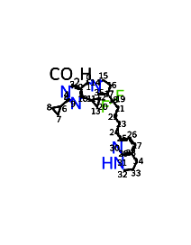 O=C(O)C(c1cnc(C2CC2)nc1C1CC1)N1CC[C@@H](C(F)(F)CCCCc2ccc3c(n2)NCCC3)C1